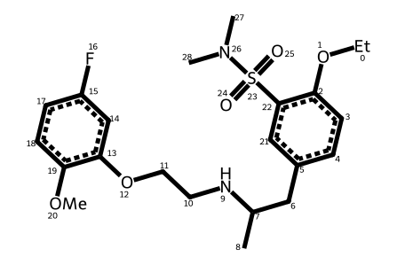 CCOc1ccc(CC(C)NCCOc2cc(F)ccc2OC)cc1S(=O)(=O)N(C)C